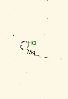 CCC[CH2][Mg][c]1ccccc1.Cl